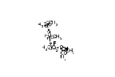 COC(=O)C(C)(C)CC(=O)c1cc2c(F)c(OCCCOc3c(OC)cc4sc(CCP(=O)(OC)OC)cc4c3F)c(OC)cc2s1